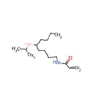 C=CC(=O)NCCCCC(BC(C)C)CCCC